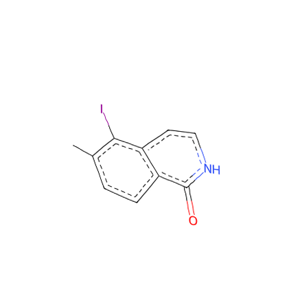 Cc1ccc2c(=O)[nH]ccc2c1I